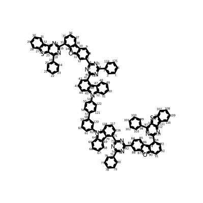 c1ccc(-c2nc(-c3ccc4c(c3)oc3c(-c5nc(-c6ccccc6)c6sc7ccccc7c6n5)cccc34)nc(-c3cccc4c3c3ccccc3n4-c3ccc(-c4cccc(-n5c6ccccc6c6c(-c7nc(-c8ccccc8)nc(-c8ccc9c(c8)oc8cccc(-c%10nc(-c%11ccccc%11)c%11sc%12ccccc%12c%11n%10)c89)n7)cccc65)c4)cc3)n2)cc1